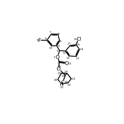 O=C(OC(c1cccc(F)c1)c1cccc(Cl)c1)OC1CN2CCC1CC2